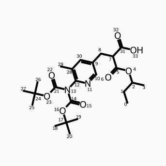 CCC(C)OC(=O)C(Cc1cnc(N(C(=O)OC(C)(C)C)C(=O)OC(C)(C)C)c(C)c1)C(=O)O